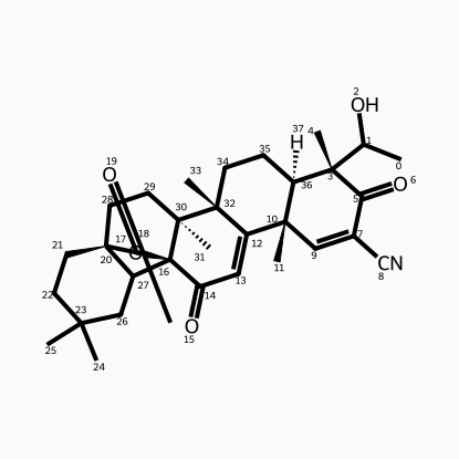 CC(O)[C@]1(C)C(=O)C(C#N)=C[C@]2(C)C3=CC(=O)[C@]45OC(=O)[C@@]6(CCC(C)(C)CC64)CC[C@@]5(C)[C@]3(C)CC[C@@H]12